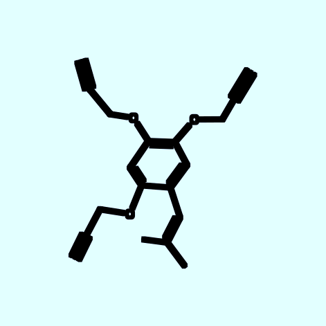 C#CCOc1cc(OCC#C)c(OCC#C)cc1C=C(C)C